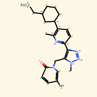 CCCc1ccc(=O)n(Cc2c(-c3ccc(C4CCCC(CC(=O)OCC)C4)c(C)n3)nnn2C)c1